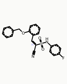 N#C/C(=C/c1ccccc1OCc1ccccc1)S(=O)(=O)Nc1ccc(F)cc1